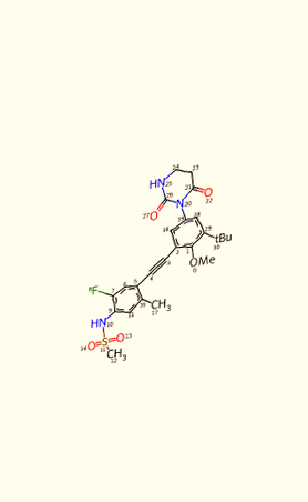 COc1c(C#Cc2cc(F)c(NS(C)(=O)=O)cc2C)cc(N2C(=O)CCNC2=O)cc1C(C)(C)C